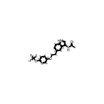 CC(=O)Nc1c[nH]c2ccc(CCOc3ccc(OC(F)(F)F)nc3)cc12